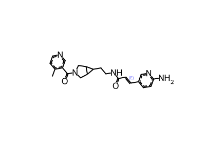 Cc1ccncc1C(=O)N1CC2C(CCNC(=O)/C=C/c3ccc(N)nc3)C2C1